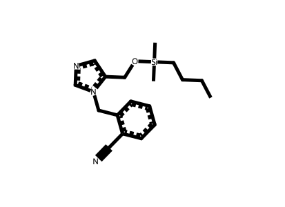 CCCC[Si](C)(C)OCc1cncn1Cc1ccccc1C#N